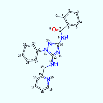 Cc1ccccc1C(=O)Nc1nc(NCc2ccccn2)n(-c2ccccc2)n1